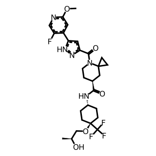 COc1cc(-c2cc(C(=O)N3CC[C@H](C(=O)N[C@H]4CC[C@@](OC[C@H](C)O)(C(F)(F)F)CC4)CC34CC4)n[nH]2)c(F)cn1